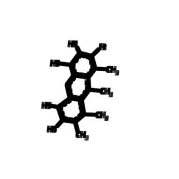 CCc1c(S)c(S)c2cc3c(S)c(S)c(C)c(C)c3c(C)c2c1C